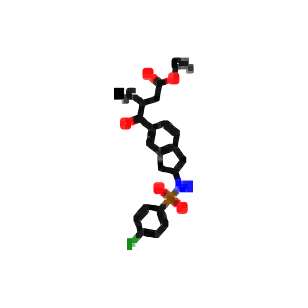 COC(=O)CC(C)C(=O)c1ccc2c(c1)CC(NS(=O)(=O)c1ccc(F)cc1)C2